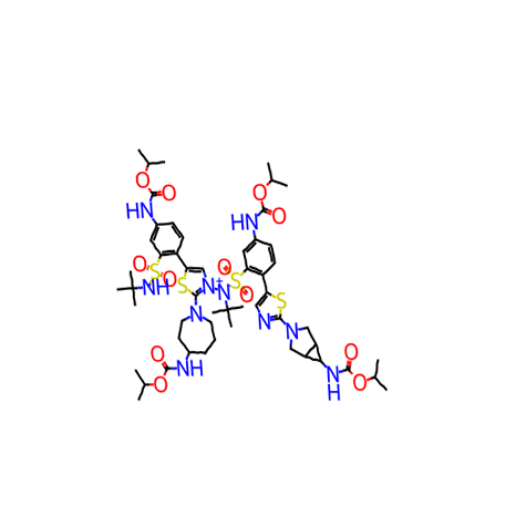 CC(C)OC(=O)Nc1ccc(-c2c[n+](N(C(C)(C)C)S(=O)(=O)c3cc(NC(=O)OC(C)C)ccc3-c3cnc(N4CC5C(C4)C5NC(=O)OC(C)C)s3)c(N3CCCC(NC(=O)OC(C)C)CC3)s2)c(S(=O)(=O)NC(C)(C)C)c1